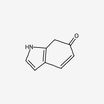 O=C1C=Cc2cc[nH]c2C1